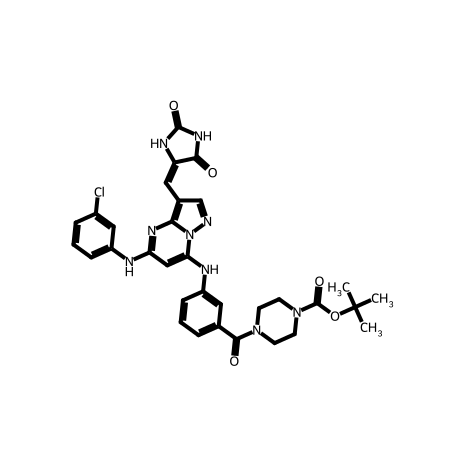 CC(C)(C)OC(=O)N1CCN(C(=O)c2cccc(Nc3cc(Nc4cccc(Cl)c4)nc4c(C=C5NC(=O)NC5=O)cnn34)c2)CC1